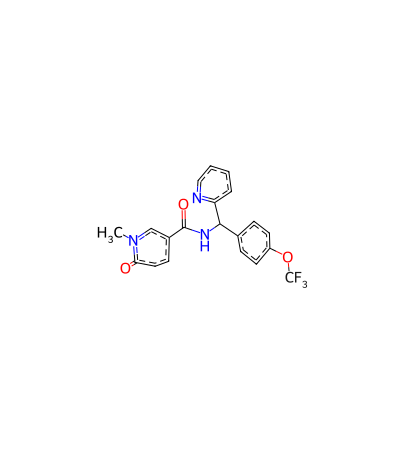 Cn1cc(C(=O)NC(c2ccc(OC(F)(F)F)cc2)c2ccccn2)ccc1=O